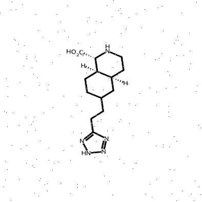 O=C(O)[C@@H]1NCC[C@H]2CC(CCc3nn[nH]n3)CC[C@H]21